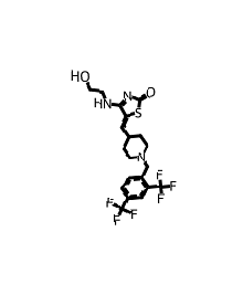 O=C1N=C(NCCO)C(=CC2CCN(Cc3ccc(C(F)(F)F)cc3C(F)(F)F)CC2)S1